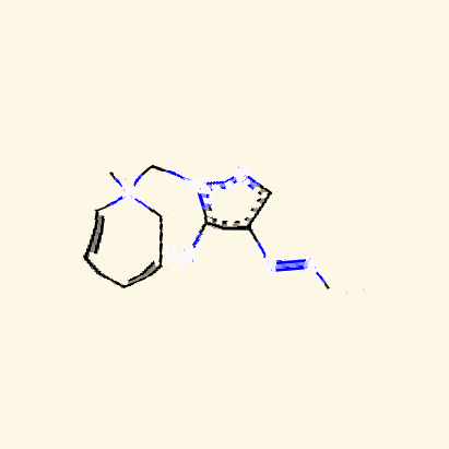 CCCCC/N=N/c1cnn(C[N+]2(C)C=CC=CC2)c1N